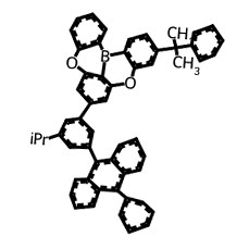 CC(C)c1cc(-c2cc3c4c(c2)Oc2cc(C(C)(C)c5ccccc5)ccc2B4c2ccccc2O3)cc(-c2c3ccccc3c(-c3ccccc3)c3ccccc23)c1